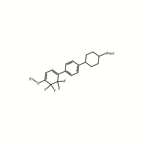 CCCCCC1CCC(c2ccc(C3=CC=C(OCC)C(F)(F)C3(F)F)cc2)CC1